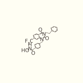 O=C(NO)c1ccc(Cn2c(=O)n(CCc3ccccc3)c(=O)c3ccc(C(F)(F)F)cc32)cc1